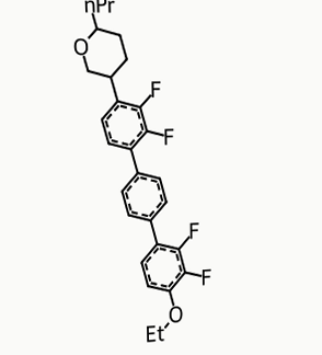 CCCC1CCC(c2ccc(-c3ccc(-c4ccc(OCC)c(F)c4F)cc3)c(F)c2F)CO1